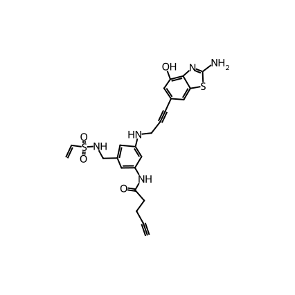 C#CCCC(=O)Nc1cc(CNS(=O)(=O)C=C)cc(NCC#Cc2cc(O)c3nc(N)sc3c2)c1